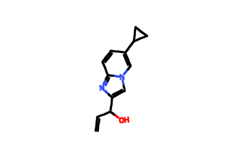 C=CC(O)c1cn2cc(C3CC3)ccc2n1